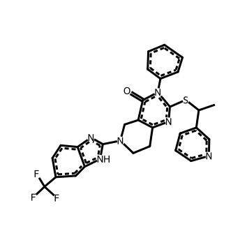 CC(Sc1nc2c(c(=O)n1-c1ccccc1)CN(c1nc3ccc(C(F)(F)F)cc3[nH]1)CC2)c1cccnc1